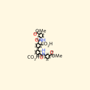 COC(=O)c1cccc(NC(=O)c2ccc(-c3ccc(C(=O)O)c(C(=O)Nc4cccc(C(=O)OC)c4)c3)cc2C(=O)O)c1